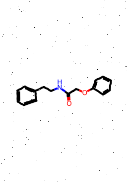 O=C(COc1[c]cccc1)NCCc1ccccc1